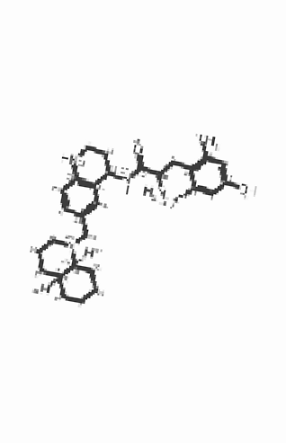 Cc1cc(O)cc(C)c1CC(N)C(=O)NC1CCNc2ccc(CN3CCC[C@H]4CCCC[C@@H]43)cc21